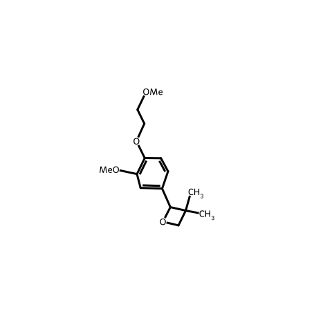 COCCOc1ccc(C2OCC2(C)C)cc1OC